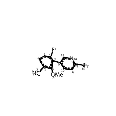 COc1c(C#N)ccc(F)c1-c1ccc(C(C)C)nc1